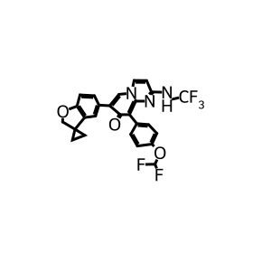 O=c1c(-c2ccc3c(c2)C2(CC2)CO3)cn2ccc(NCC(F)(F)F)nc2c1-c1ccc(OC(F)F)cc1